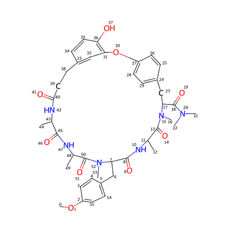 COc1ccc(CC2C(=O)NC(C)C(=O)N(C)C(C(=O)N(C)C)Cc3ccc(cc3)Oc3cc(ccc3O)CCC(=O)NC(C)C(=O)NC(C)C(=O)N2C)cc1